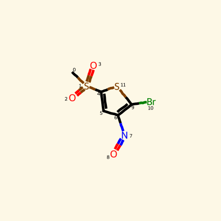 CS(=O)(=O)c1cc(N=O)c(Br)s1